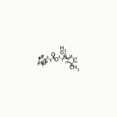 CCN(CCOC(=O)CCC(F)(F)C(F)(F)F)c1cccc(C)c1